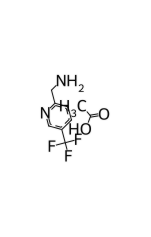 CC(=O)O.NCc1ccc(C(F)(F)F)cn1